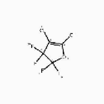 FC1(F)OC(Cl)=C(Cl)C1(F)F